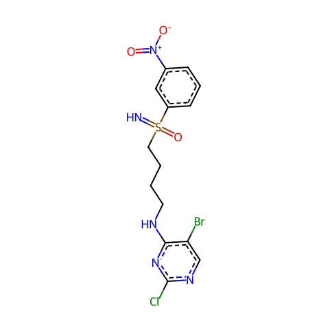 N=S(=O)(CCCCNc1nc(Cl)ncc1Br)c1cccc([N+](=O)[O-])c1